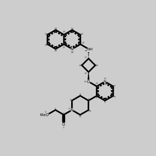 COCC(=O)N1CCC(c2cccnc2O[C@H]2C[C@H](Nc3ccc4ccccc4n3)C2)CC1